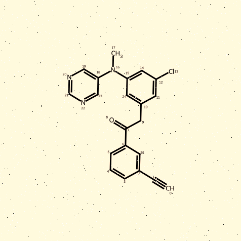 C#Cc1cccc(C(=O)Cc2cc(Cl)cc(N(C)c3cncnc3)c2)c1